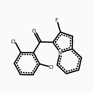 O=C(c1c(Cl)cccc1Cl)c1c(F)cc2ccccn12